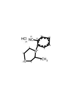 CC1COCCN1c1ccccc1C#N.Cl